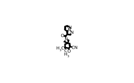 CC1(C)CC2(C=C(C#N)C1=O)CN(C(=O)c1cnn3ncccc13)C2